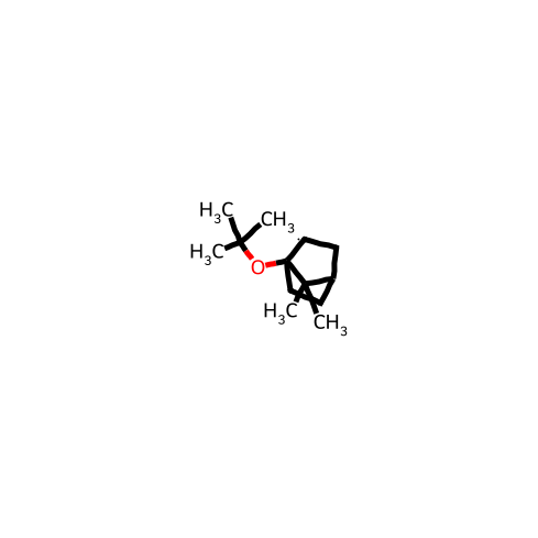 CC(C)(C)OC12[CH]CC(CC1)C2(C)C